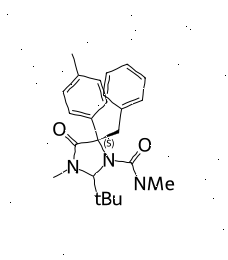 CNC(=O)N1C(C(C)(C)C)N(C)C(=O)[C@]1(Cc1ccccc1)c1ccc(C)cc1